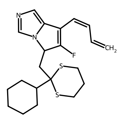 C=C/C=C\C1=C(F)C(CC2(C3CCCCC3)SCCCS2)n2cncc21